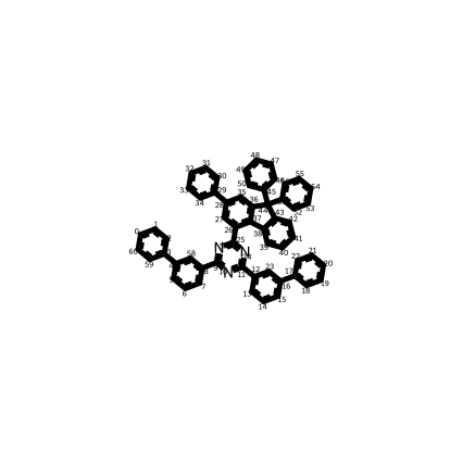 c1ccc(-c2cccc(-c3nc(-c4cccc(-c5ccccc5)c4)nc(-c4cc(-c5ccccc5)cc5c4-c4ccccc4C5(c4ccccc4)c4ccccc4)n3)c2)cc1